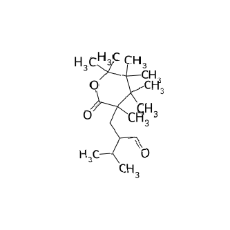 CC(C)C(C=O)CC1(C)C(=O)OC(C)(C)C(C)(C)C1(C)C